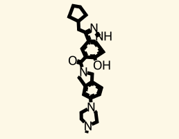 CN1CCN(c2ccc3c(c2)CN(C(=O)c2cc4c(CC5CCCC5)n[nH]c4cc2O)C3)CC1